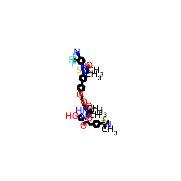 Cc1ncsc1-c1ccc(CCC(=O)[C@@H]2C[C@@H](O)CN2C(=O)[C@@H](NC(=O)COCCOc2ccc(-c3ccc(N4C(=S)N(c5ccc(C#N)c(C(F)(F)F)c5)C(=O)C4(C)C)cc3)cc2)C(C)(C)C)cc1